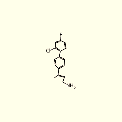 CC(=CCN)c1ccc(-c2ccc(F)cc2Cl)cc1